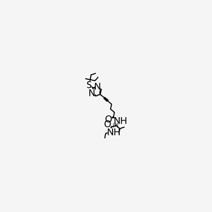 CCNC(=O)[C@@H](NC(=O)CCCC#Cc1cnc(SC(C)(CC)CC)nc1)C(C)C